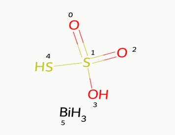 O=S(=O)(O)S.[BiH3]